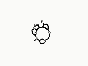 CN1c2ccn3ncc(c3n2)-c2cc(ccc2F)OCCN2CCC1C2